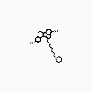 CCc1c(-c2ccc(O)cc2)c2c(COCCCCCN3CCCCC3)cc3c(O)ccc1n32